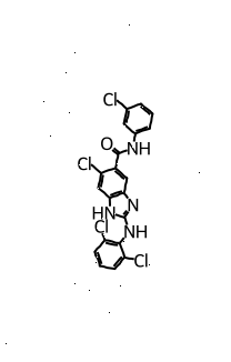 O=C(Nc1cccc(Cl)c1)c1cc2nc(Nc3c(Cl)cccc3Cl)[nH]c2cc1Cl